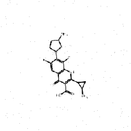 CC1CC1c1[nH]c2c(F)c(N3CCC(N)C3)c(F)cc2c(=O)c1C(=O)O